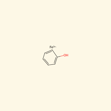 Oc1ccccc1.[Fe+3]